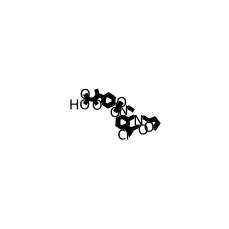 CCN(c1ccc(Cl)cc1CN(Cc1ccco1)C(=O)C1CC1)S(=O)(=O)c1ccc2c(C)c(C(=O)O)oc2c1